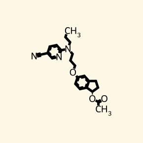 CCCN(CCCOc1ccc2c(c1)CC[C@@H]2OC(C)=O)c1ccc(C#N)cn1